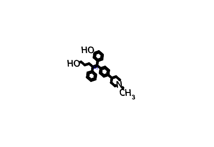 CCN1CCC(c2ccc(/C(=C(/CCCO)c3ccccc3)c3cccc(O)c3)cc2)CC1